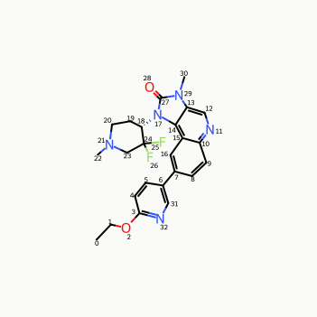 CCOc1ccc(-c2ccc3ncc4c(c3c2)n([C@H]2CCN(C)CC2(F)F)c(=O)n4C)cn1